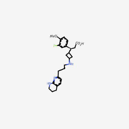 COc1ccc(C(CC(=O)O)C2CC(NCCCc3ccc4c(n3)NCCC4)C2)cc1F